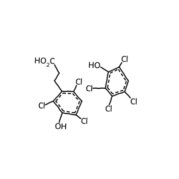 O=C(O)CCc1c(Cl)cc(Cl)c(O)c1Cl.Oc1c(Cl)cc(Cl)c(Cl)c1Cl